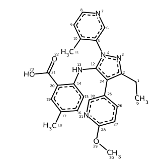 CCc1nn(-c2cnccc2C)c(Nc2ccc(C)cc2C(=O)O)c1-c1ccc(OC)nc1